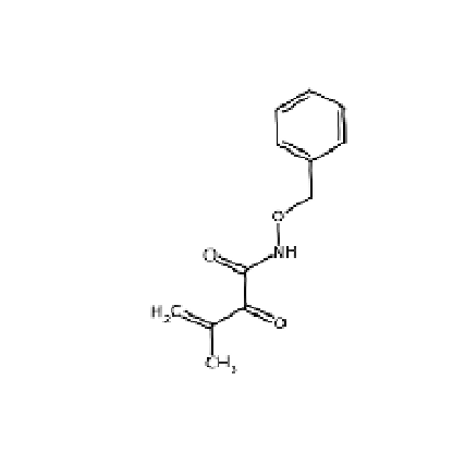 C=C(C)C(=O)C(=O)NOCc1ccccc1